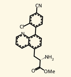 COC(=O)[C@@H](N)Cc1ccc(-c2ccc(C#N)cc2Cl)c2ncccc12